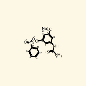 NC(=S)Nc1cc(Cl)cc(Cl)c1.O=[S-](=O)c1ccccc1.[Na+]